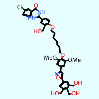 COc1cc(-c2cc(-c3cc(CO)c(CO)c(CO)c3)on2)cc(OC)c1OCCCCCCCOc1ccc(C2NC(=O)c3cc(Cl)ccc3N2)cc1CO